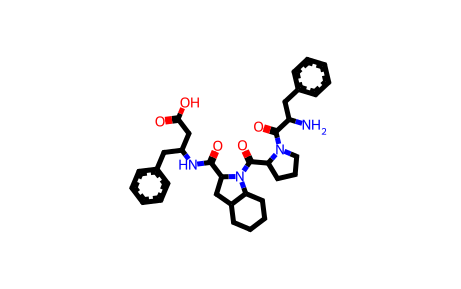 NC(Cc1ccccc1)C(=O)N1CCCC1C(=O)N1C(C(=O)NC(CC(=O)O)Cc2ccccc2)CC2CCCCC21